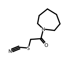 N#CSCC(=O)N1CCCCCC1